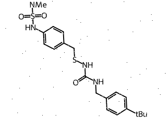 CNS(=O)(=O)Nc1ccc(CSNC(=O)NCc2ccc(C(C)(C)C)cc2)cc1